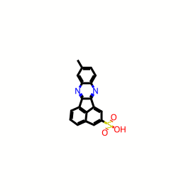 Cc1ccc2nc3c(nc2c1)-c1cccc2cc(S(=O)(=O)O)cc-3c12